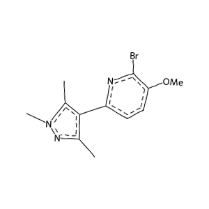 COc1ccc(-c2c(C)nn(C)c2C)nc1Br